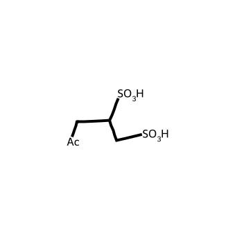 CC(=O)CC(CS(=O)(=O)O)S(=O)(=O)O